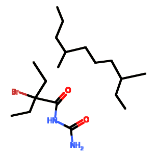 CCC(Br)(CC)C(=O)NC(N)=O.CCCC(C)CCCC(C)CC